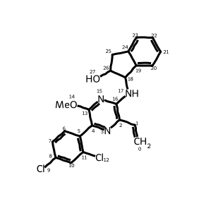 C=Cc1nc(-c2ccc(Cl)cc2Cl)c(OC)nc1NC1c2ccccc2CC1O